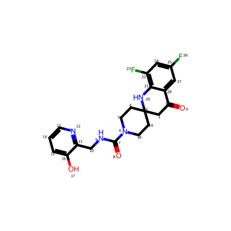 O=C1CC2(CCN(C(=O)NCc3ncccc3O)CC2)Nc2c(F)cc(F)cc21